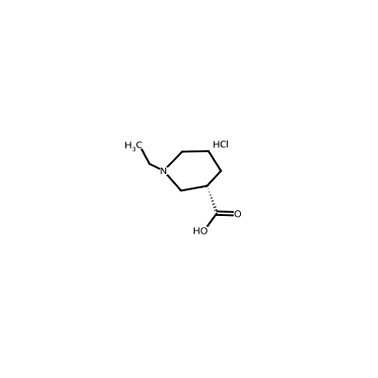 CCN1CCC[C@H](C(=O)O)C1.Cl